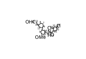 COc1ccc(-c2cccc(/C=C/C=O)c2)cc1CNC(=O)c1ccc(Cl)cc1Cl